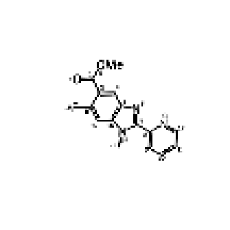 COC(=O)c1cc2nc(-c3ccccn3)n(C)c2cc1F